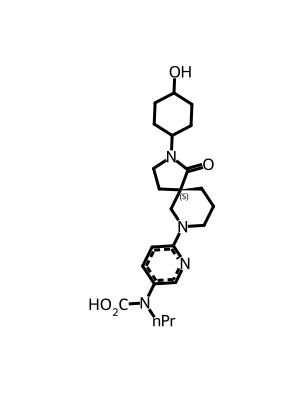 CCCN(C(=O)O)c1ccc(N2CCC[C@]3(CCN(C4CCC(O)CC4)C3=O)C2)nc1